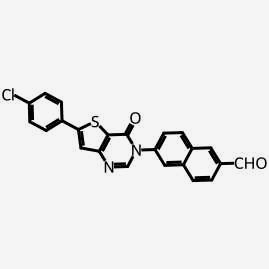 O=Cc1ccc2cc(-n3cnc4cc(-c5ccc(Cl)cc5)sc4c3=O)ccc2c1